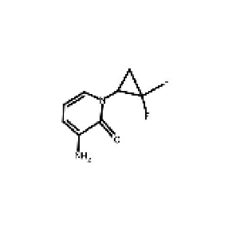 Nc1cccn(C2CC2(F)F)c1=O